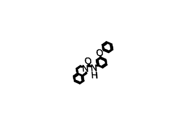 O=C(Nc1cccc(Oc2ccccc2)c1)N1CCc2ccccc2C1